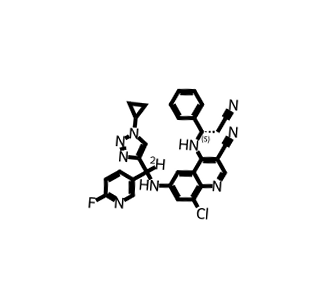 [2H]C(Nc1cc(Cl)c2ncc(C#N)c(N[C@@H](CC#N)c3ccccc3)c2c1)(c1ccc(F)nc1)c1cn(C2CC2)nn1